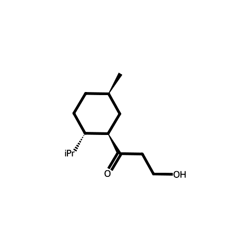 CC(C)[C@@H]1CC[C@@H](C)C[C@H]1C(=O)CCO